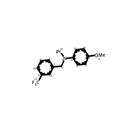 COc1ccc(N(Cc2cccc(C(F)(F)F)c2)C(C)C)cc1